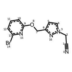 N#CCn1ccc(COc2cccc(Br)n2)n1